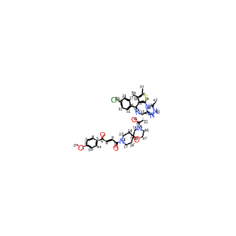 COc1ccc(C(=O)/C=C/C(=O)N2CCC3(CC2)CN(C(=O)C[C@@H]2N=C(c4ccc(Cl)cc4)c4c(sc(C)c4C)-n4c(C)nnc42)CCO3)cc1